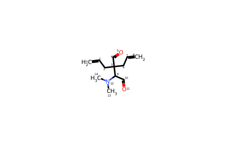 C=CCC([C]=O)(CC=C)C(C=O)N(C)C